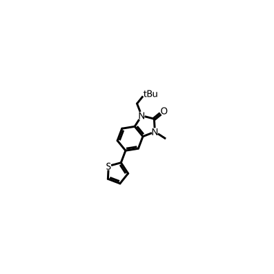 Cn1c(=O)n(CC(C)(C)C)c2ccc(-c3cccs3)cc21